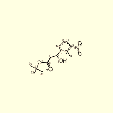 Cc1c(C(O)CC(=O)OC(C)(C)C)cccc1[N+](=O)[O-]